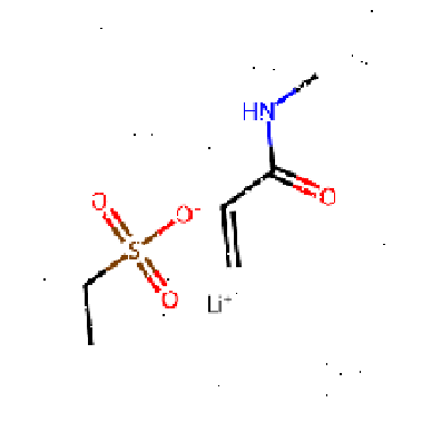 C=CC(=O)NC.CCS(=O)(=O)[O-].[Li+]